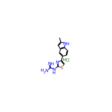 Cc1cc2cc(-c3csc(NC(=N)N)n3)ccc2[nH]1.Cl